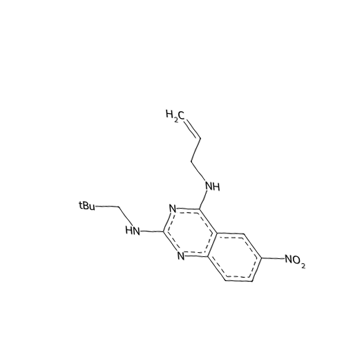 C=CCNc1nc(NCC(C)(C)C)nc2ccc([N+](=O)[O-])cc12